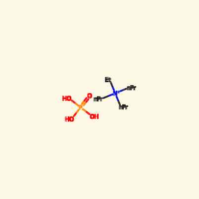 CCC[N+](CC)(CCC)CCC.O=P(O)(O)O